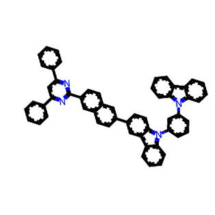 c1ccc(-c2cc(-c3ccccc3)nc(-c3ccc4cc(-c5ccc6c(c5)c5ccccc5n6-c5cccc(-n6c7ccccc7c7ccccc76)c5)ccc4c3)n2)cc1